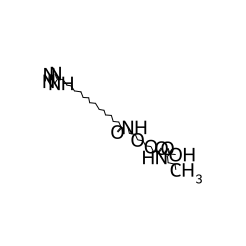 CCCC(NC(=O)COCCOCCNC(=O)CCCCCCCCCCCCCCCc1nnn[nH]1)C(=O)O